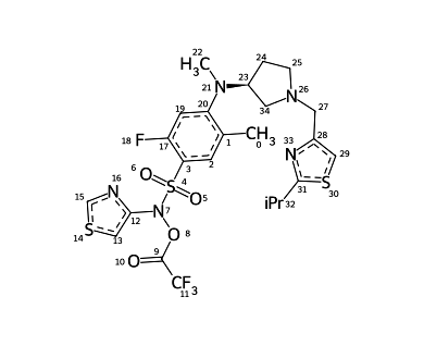 Cc1cc(S(=O)(=O)N(OC(=O)C(F)(F)F)c2cscn2)c(F)cc1N(C)[C@H]1CCN(Cc2csc(C(C)C)n2)C1